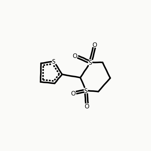 O=S1(=O)CCCS(=O)(=O)C1c1cccs1